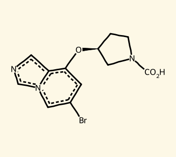 O=C(O)N1CC[C@H](Oc2cc(Br)cn3cncc23)C1